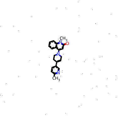 Cc1ccc(C2=CCN(c3cc(=O)n(C)c4ccccc34)CC2)cn1